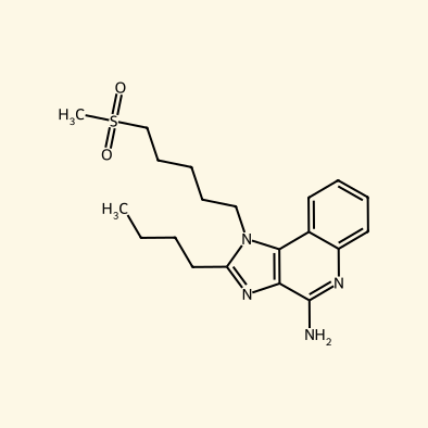 CCCCc1nc2c(N)nc3ccccc3c2n1CCCCCS(C)(=O)=O